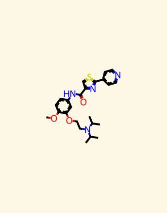 COc1ccc(NC(=O)c2csc(-c3ccncc3)n2)cc1OCCN(C(C)C)C(C)C